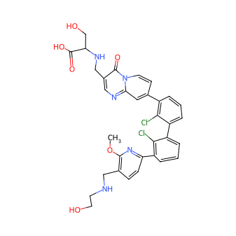 COc1nc(-c2cccc(-c3cccc(-c4ccn5c(=O)c(CNC(CO)C(=O)O)cnc5c4)c3Cl)c2Cl)ccc1CNCCO